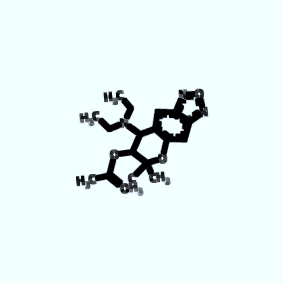 CCN(CC)C1c2cc3nonc3cc2OC(C)(C)C1OC(C)=O